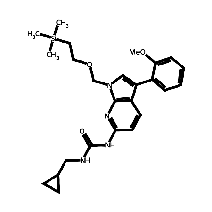 COc1ccccc1-c1cn(COCC[Si](C)(C)C)c2nc(NC(=O)NCC3CC3)ccc12